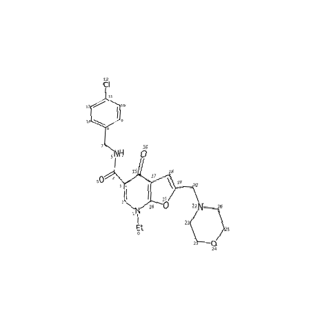 CCn1cc(C(=O)NCc2ccc(Cl)cc2)c(=O)c2cc(CN3CCOCC3)oc21